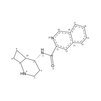 O=C(N[C@@H]1CCNC2CCC21)c1cc2ccccc2cn1